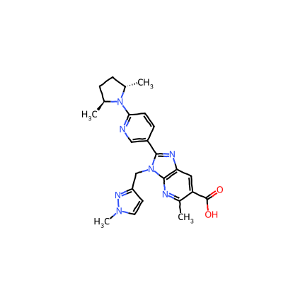 Cc1nc2c(cc1C(=O)O)nc(-c1ccc(N3[C@@H](C)CC[C@@H]3C)nc1)n2Cc1ccn(C)n1